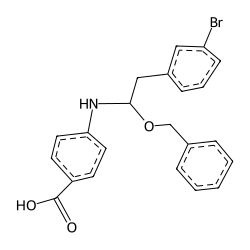 O=C(O)c1ccc(NC(Cc2cccc(Br)c2)OCc2ccccc2)cc1